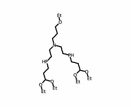 CCOCCCN(CCPCCC(OCC)OCC)CCPCCC(OCC)OCC